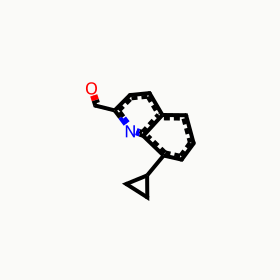 O=Cc1ccc2cccc(C3CC3)c2n1